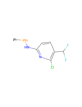 CC(C)PNc1ccc(C(F)F)c(Cl)n1